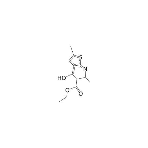 CCOC(=O)C1C(O)=c2cc(C)sc2=NC1C